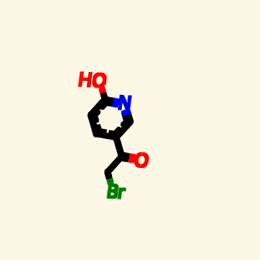 O=C(CBr)c1ccc(O)nc1